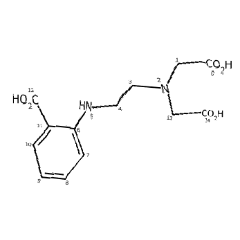 O=C(O)CN(CCNc1ccccc1C(=O)O)CC(=O)O